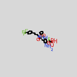 Nc1cc(C[C@H](NS(=O)(=O)c2ccccc2)C(=O)NCCCCc2ccc(C(F)(F)F)cc2)ccc1OC(F)C(=O)O